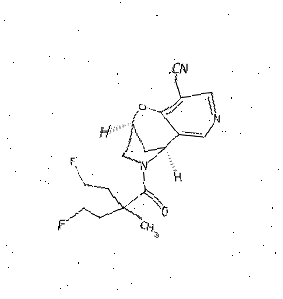 CC(CCF)(CCF)C(=O)N1C[C@@H]2C[C@H]1c1cncc(C#N)c1O2